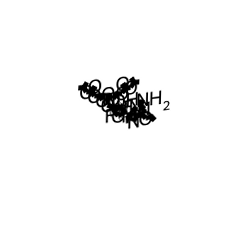 CCOc1nc(N)nc2c1ncn2[C@@H]1O[C@]2(F)C(OP(=O)(OCOC(=O)OC(C)C)OCOC(=O)OC(C)C)[C@]2(O)[C@@]1(C)F